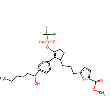 CCCCCC(O)c1ccc(C2=C(OS(=O)(=O)C(F)(F)F)CCC2CCCc2ccc(C(=O)OC)s2)cc1